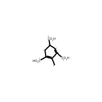 CC1=C(C(=O)O)CC(C(=O)O)C=C1C(=O)O